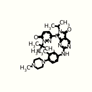 Cc1cc(Nc2ncc3c(=O)n(C(C)C)n(-c4ccc(=O)n(C(C)(C)C)n4)c3n2)ccc1N1CCN(C)CC1